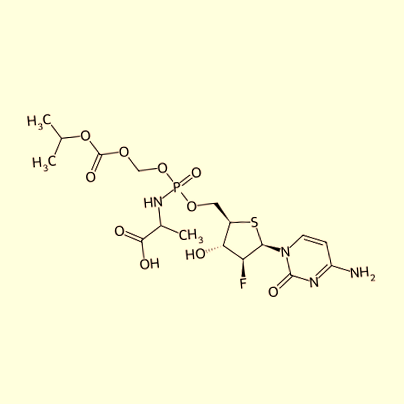 CC(C)OC(=O)OCOP(=O)(NC(C)C(=O)O)OC[C@H]1S[C@@H](n2ccc(N)nc2=O)[C@@H](F)[C@@H]1O